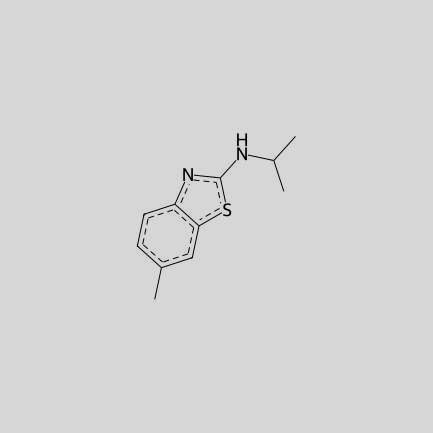 Cc1ccc2nc(NC(C)C)sc2c1